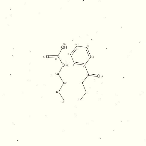 CCCC(=O)c1ccccc1.CCCCOC(=O)O